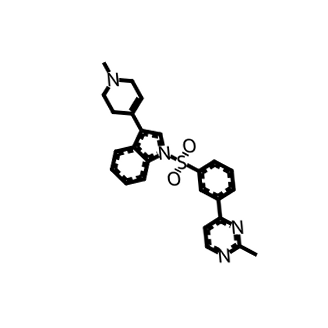 Cc1nccc(-c2cccc(S(=O)(=O)n3cc(C4=CCN(C)CC4)c4ccccc43)c2)n1